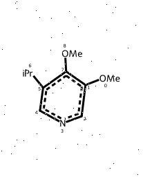 COc1cncc(C(C)C)c1OC